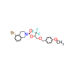 COc1ccc(COCC(OC(=O)N2CCc3c(Br)cccc3C2)C(F)(F)F)cc1